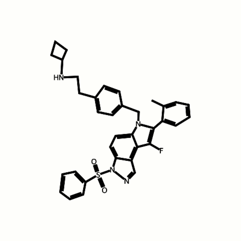 Cc1ccccc1-c1c(F)c2c3cnn(S(=O)(=O)c4ccccc4)c3ccc2n1Cc1ccc(CCNC2CCC2)cc1